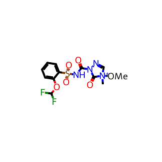 CO[N+]1(C)C=NN(C(=O)NS(=O)(=O)c2ccccc2OC(F)F)C1=O